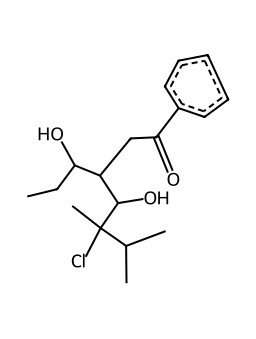 CCC(O)C(CC(=O)c1ccccc1)C(O)C(C)(Cl)C(C)C